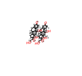 C[C@]12CCC(=O)C=C1CC[C@@H]1[C@@H]2[C@@H](O)C[C@@]2(C)[C@H]1CC[C@]2(O)C(=O)CO.C[C@]12CCC(=O)C=C1CC[C@@H]1[C@@H]2[C@@H](O)C[C@@]2(C)[C@H]1CC[C@]2(O)C(=O)CO